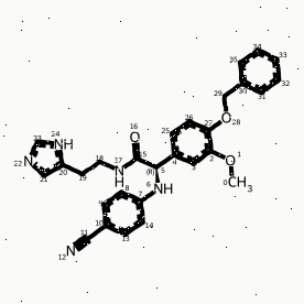 COc1cc([C@@H](Nc2ccc(C#N)cc2)C(=O)NCCc2cnc[nH]2)ccc1OCc1ccccc1